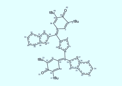 CC(C)(C)C1=CC(=C(c2ccc(C(=C3C=C(C(C)(C)C)C(=O)C(C(C)(C)C)=C3)c3cc4ccccc4s3)s2)c2cc3ccccc3s2)C=C(C(C)(C)C)C1=O